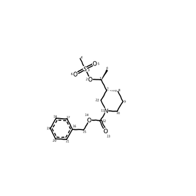 C[C@H](OS(C)(=O)=O)[C@@H]1CCCN(C(=O)OCc2ccccc2)C1